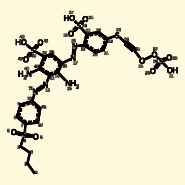 CCCCS(=O)(=O)c1ccc(N=Nc2c(N)c(N=Nc3ccc(SC#COOS(=O)(=O)O)cc3S(=O)(=O)O)cc(S(=O)(=O)O)c2N)cc1